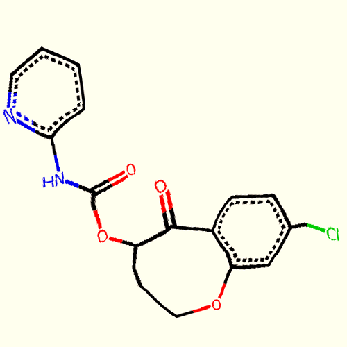 O=C(Nc1ccccn1)OC1CCOc2cc(Cl)ccc2C1=O